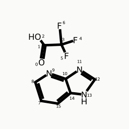 O=C(O)C(F)(F)F.c1cnc2nc[nH]c2c1